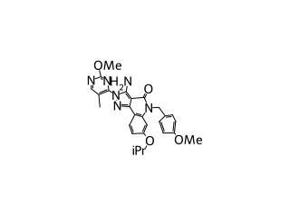 COc1ccc(Cn2c(=O)c3c(N)n(-c4nc(OC)ncc4C)nc3c3ccc(OC(C)C)cc32)cc1